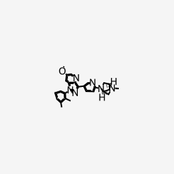 COc1cnc2c(-c3ccc(N4C[C@@H]5C[C@H]4CN5C)nc3)nn(-c3cccc(C)c3C)c2c1